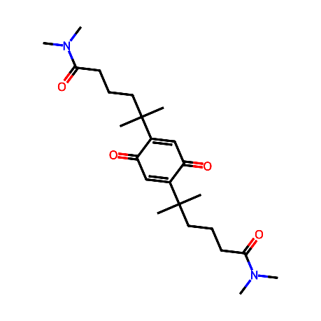 CN(C)C(=O)CCCC(C)(C)C1=CC(=O)C(C(C)(C)CCCC(=O)N(C)C)=CC1=O